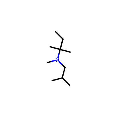 CCC(C)(C)N(C)CC(C)C